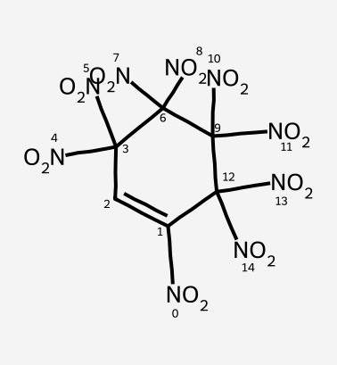 O=[N+]([O-])C1=CC([N+](=O)[O-])([N+](=O)[O-])C([N+](=O)[O-])([N+](=O)[O-])C([N+](=O)[O-])([N+](=O)[O-])C1([N+](=O)[O-])[N+](=O)[O-]